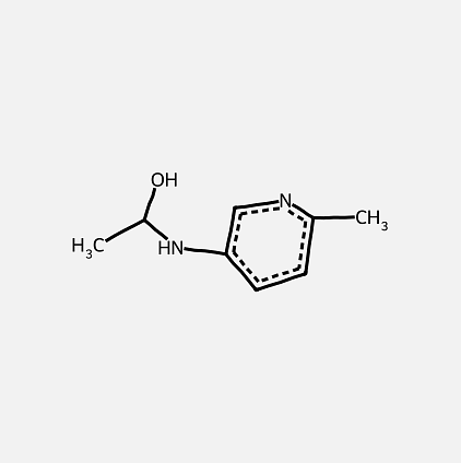 Cc1ccc(NC(C)O)cn1